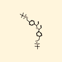 C=CC(OC(C=C)c1ccc(CO[Si](C)(C)C(C)(C)C)cc1)c1ccc(CO[Si](C)(C)C(C)(C)C)cc1